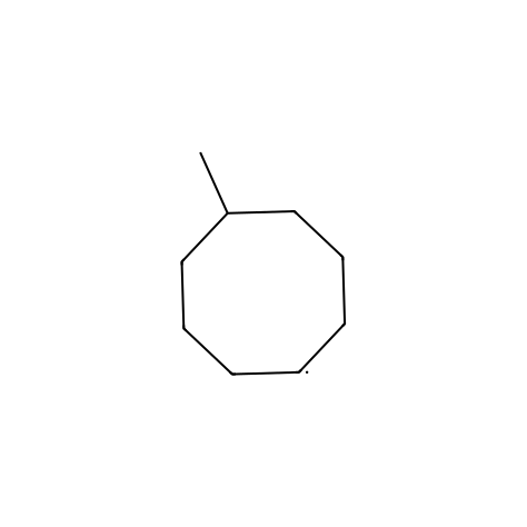 CC1CCC[CH]CCC1